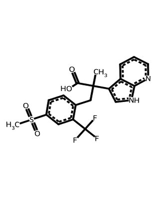 CC(Cc1ccc(S(C)(=O)=O)cc1C(F)(F)F)(C(=O)O)c1c[nH]c2ncccc12